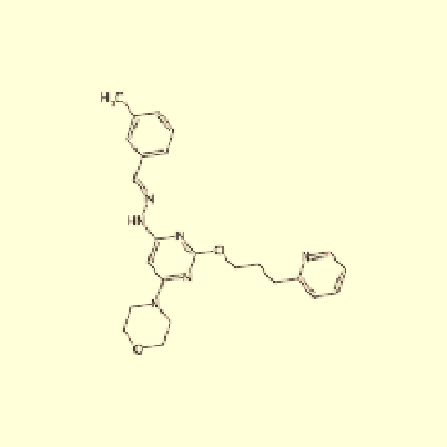 Cc1cccc(/C=N/Nc2cc(N3CCOCC3)nc(OCCCc3ccccn3)n2)c1